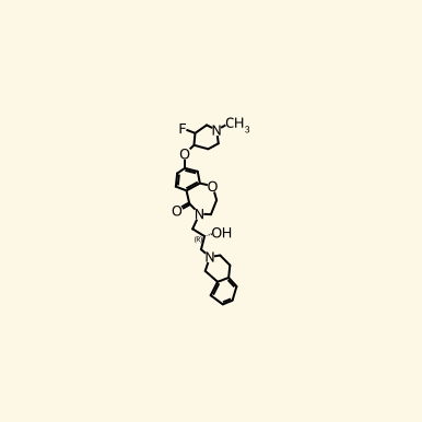 CN1CCC(Oc2ccc3c(c2)OCCN(C[C@H](O)CN2CCc4ccccc4C2)C3=O)C(F)C1